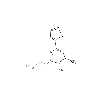 CCOC(=O)CCc1nc(-c2cccs2)cc(C(F)(F)F)c1C#N